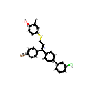 Cc1cc(SC/C=C(\c2ccc(Br)cc2)c2ccc(-c3cccc(Cl)c3)cc2)ccc1O